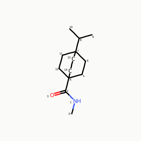 CNC(=O)C12CCC(C(C)C)(CC1)CC2